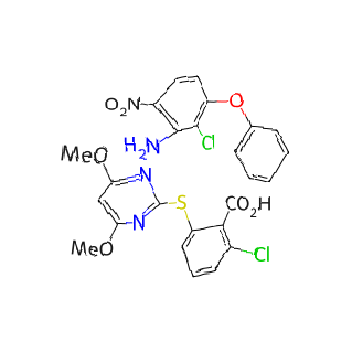 COc1cc(OC)nc(Sc2cccc(Cl)c2C(=O)O)n1.Nc1c([N+](=O)[O-])ccc(Oc2ccccc2)c1Cl